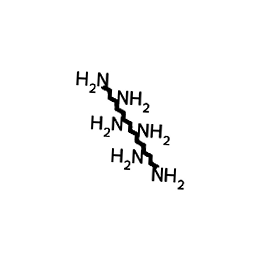 NCCCC(N)CCC(N)CCC(N)CCC(N)CCCN